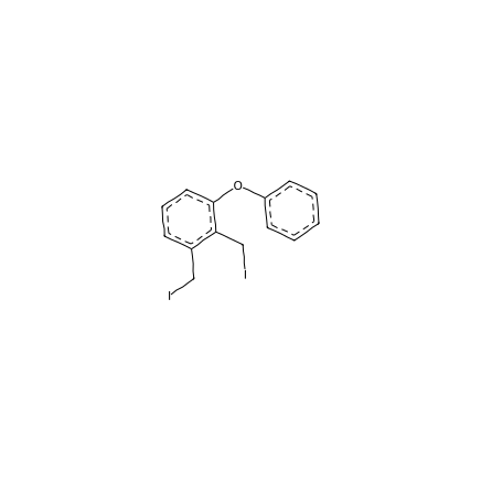 ICc1cccc(Oc2ccccc2)c1CI